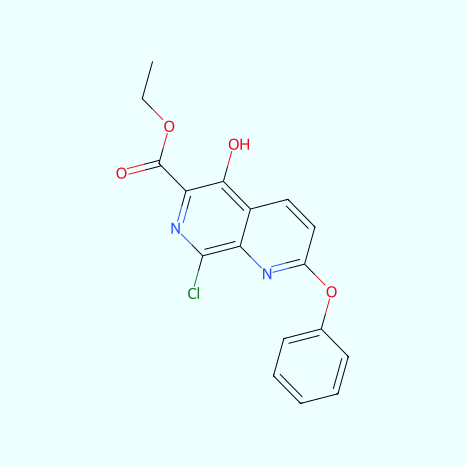 CCOC(=O)c1nc(Cl)c2nc(Oc3ccccc3)ccc2c1O